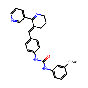 COc1cccc(NC(=O)Nc2ccc(C=C3CCCN=C3c3cccnc3)cc2)c1